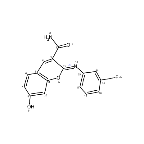 NC(=O)c1cc2ccc(O)cc2o/c1=N\c1cccc(F)c1